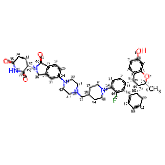 C[C@H]1Oc2cc(O)ccc2[C@@H](c2ccc(N3CCC(CN4CCN(c5ccc6c(c5)CN([C@H]5CCC(=O)NC5=O)C6=O)CC4)CC3)c(F)c2)[C@H]1C1C=CC=CC1